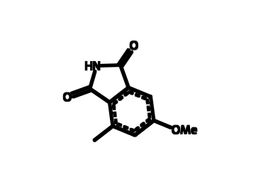 COc1cc(C)c2c(c1)C(=O)NC2=O